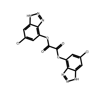 O=C(Oc1cc(Cl)cc2[nH]nnc12)C(=O)Oc1cc(Cl)cc2[nH]nnc12